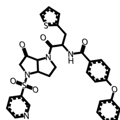 O=C(NC(Cc1cccs1)C(=O)N1CCC2C1C(=O)CN2S(=O)(=O)c1cccnc1)c1ccc(Oc2ccccc2)cc1